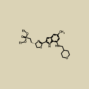 CCOP(=O)(CC[C@H]1CSC(c2cc3cc(C)cc(NCC4CCOCC4)c3[nH]2)=N1)OCC